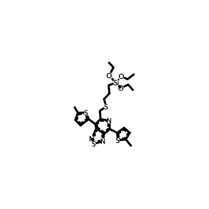 CCO[Si](CCCSCc1nc(-c2ccc(C)s2)c2nsnc2c1-c1ccc(C)s1)(OCC)OCC